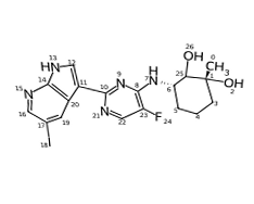 C[C@@]1(O)CCC[C@H](Nc2nc(-c3c[nH]c4ncc(I)cc34)ncc2F)C1O